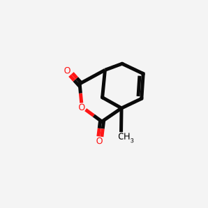 CC12C=CCC(C1)C(=O)OC2=O